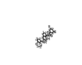 O=S(=O)(Nc1cccc2nc(Nc3cccc4c3OCCO4)ccc12)c1cc(F)cc(F)c1